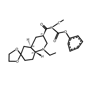 CCN(C(=O)Oc1ccccc1)C(=O)[C@@H]1C[C@@H]2CC3(CC[C@H]2N(CC)C1)OCCO3